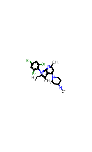 [C-]#[N+]C1CCN(c2cc(C)nc3c2c(C)c(C)n3-c2c(Br)cc(Br)cc2Br)CC1